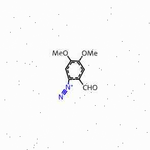 COc1cc(C=O)c([N+]#N)cc1OC